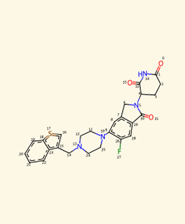 O=C1CCC(N2Cc3cc(N4CCN(Cc5csc6ccccc56)CC4)c(F)cc3C2=O)C(=O)N1